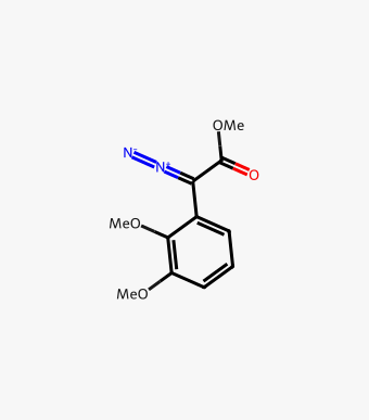 COC(=O)C(=[N+]=[N-])c1cccc(OC)c1OC